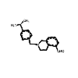 C[C@H](N)c1ccc(CN2CCc3c([C]=O)cccc3C2)cc1